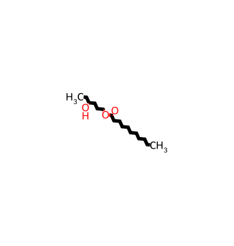 CCCCCCCCCCC(=O)OCCCC(O)CC